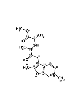 COC(=O)C(C)NN(C)C(=O)Cc1c(C)oc2cc(C)ccc12